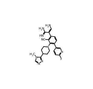 Cn1cnnc1C1CCN(c2c(-c3ccc(F)nc3)ccc(/C(=C/N)C(=N)N)c2C#N)CC1